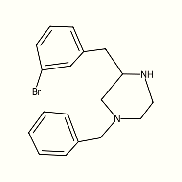 Brc1cccc(CC2CN(Cc3ccccc3)CCN2)c1